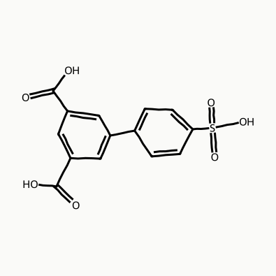 O=C(O)c1cc(C(=O)O)cc(-c2ccc(S(=O)(=O)O)cc2)c1